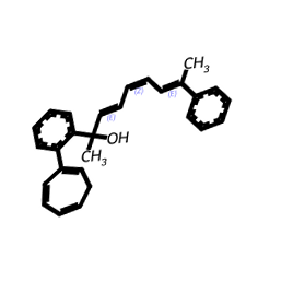 C\C(=C/C=C\C=C\C(C)(O)c1ccccc1C1=CCC=CC=C1)c1ccccc1